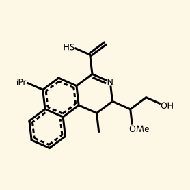 C=C(S)C1=NC(C(CO)OC)C(C)c2c1cc(C(C)C)c1ccccc21